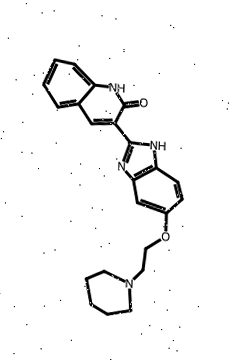 O=c1[nH]c2ccccc2cc1-c1nc2cc(OCCN3CCCCC3)ccc2[nH]1